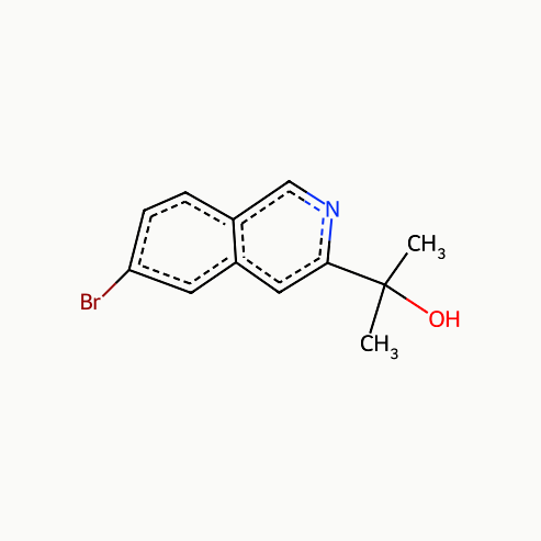 CC(C)(O)c1cc2cc(Br)ccc2cn1